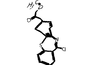 COC(=O)c1ccc2c(c1)Sc1ccccc1C(Cl)=N2